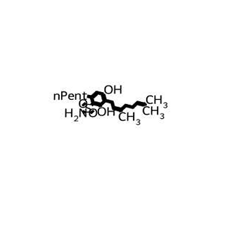 CCCCCc1cc(O)c(CC=C(C)CCC=C(C)C)c(O)c1S(N)(=O)=O